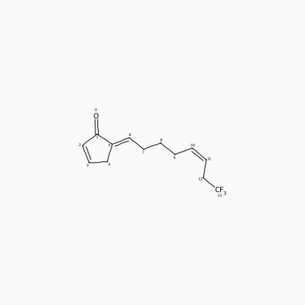 O=C1C=CC/C1=C\CCC/C=C\CC(F)(F)F